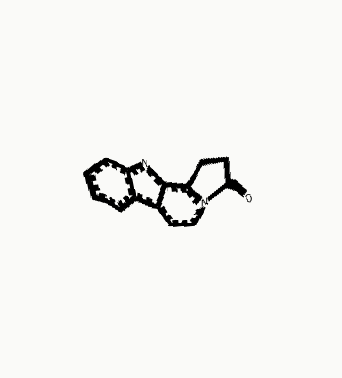 O=C1CCc2c3nc4ccccc4c-3ccn21